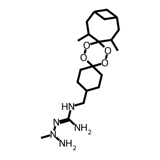 CC1CC2CC(C2)CC(C)C12OOC1(CCC(CN/C(N)=N/N(C)N)CC1)OO2